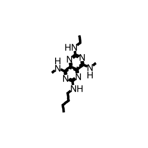 CCCCNc1nc(NC)c2nc(NCC)nc(NC)c2n1